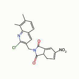 Cc1ccc2cc(CN3C(=O)C4=CC([N+](=O)[O-])=CCC4C3=O)c(Cl)nc2c1C